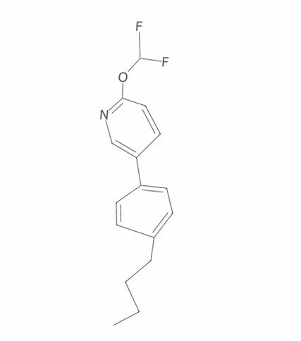 CCCCc1ccc(-c2ccc(OC(F)F)nc2)cc1